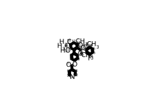 COc1cc(OC(=O)c2ccncc2)ccc1C1=C(COc2cc(F)ccc2C)C(C)(O)CC(C)(C)C1O